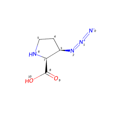 [N-]=[N+]=N[C@@H]1CCN[C@@H]1C(=O)O